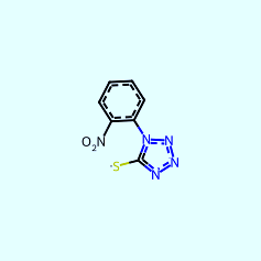 O=[N+]([O-])c1ccccc1-n1nnnc1[S]